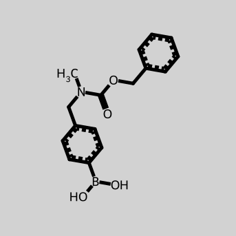 CN(Cc1ccc(B(O)O)cc1)C(=O)OCc1ccccc1